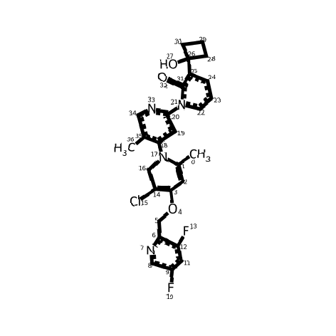 CC1=CC(OCc2ncc(F)cc2F)=C(Cl)CN1c1cc(-n2cccc(C3(O)CCC3)c2=O)ncc1C